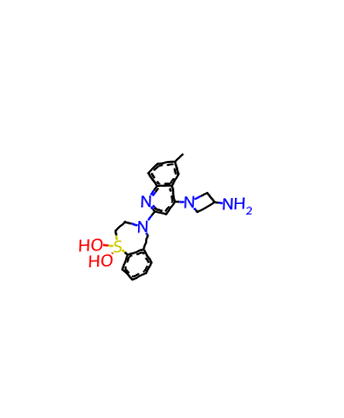 Cc1ccc2nc(N3CCS(O)(O)c4ccccc4C3)cc(N3CC(N)C3)c2c1